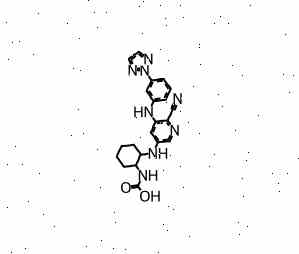 N#Cc1ncc(NC2CCCCC2NC(=O)O)cc1Nc1cccc(-n2nccn2)c1